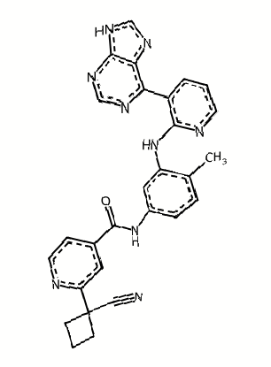 Cc1ccc(NC(=O)c2ccnc(C3(C#N)CCC3)c2)cc1Nc1ncccc1-c1ncnc2[nH]cnc12